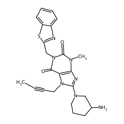 CC#CCn1c(N2CCCC(N)C2)nc2c1c(=O)n(Cc1nc3ccccc3s1)c(=O)n2C